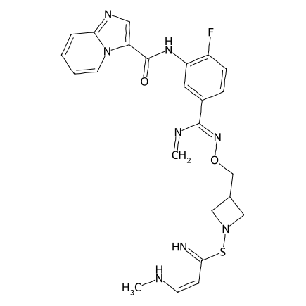 C=N/C(=N\OCC1CN(SC(=N)/C=C\NC)C1)c1ccc(F)c(NC(=O)c2cnc3ccccn23)c1